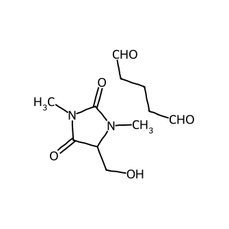 CN1C(=O)C(CO)N(C)C1=O.O=CCCCC=O